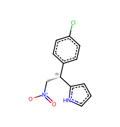 O=[N+]([O-])C[C@H](c1ccc(Cl)cc1)c1ccc[nH]1